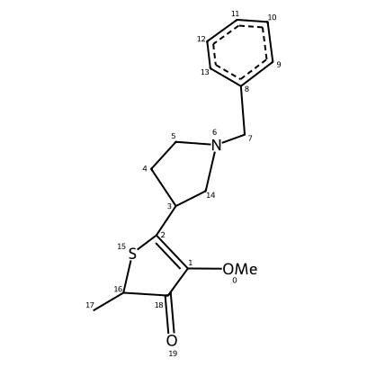 COC1=C(C2CCN(Cc3ccccc3)C2)SC(C)C1=O